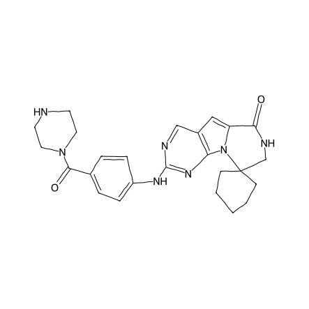 O=C1NCC2(CCCCC2)n2c1cc1cnc(Nc3ccc(C(=O)N4CCNCC4)cc3)nc12